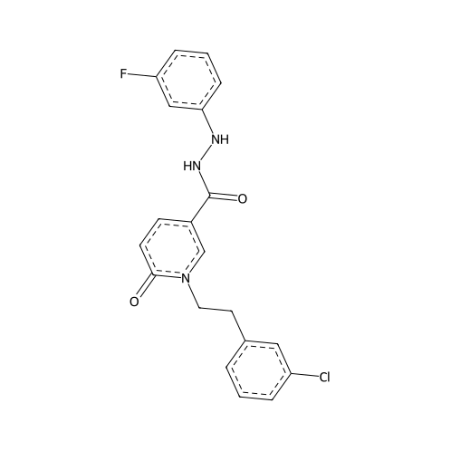 O=C(NNc1cccc(F)c1)c1ccc(=O)n(CCc2cccc(Cl)c2)c1